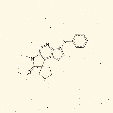 CN1C(=O)C2(CCCC2)c2c1cnc1c2ccn1Sc1ccccc1